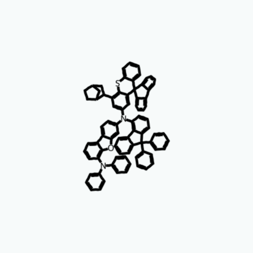 c1ccc(N(c2ccccc2)c2cccc3c2oc2cc(N(c4cc(C5CC6CCC5C6)c5c(c4)C4(c6ccccc6S5)c5ccccc5-c5ccccc54)c4cccc5c4-c4ccccc4C5(c4ccccc4)c4ccccc4)ccc23)cc1